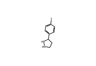 Fc1ccc(C2CCNN2)cc1